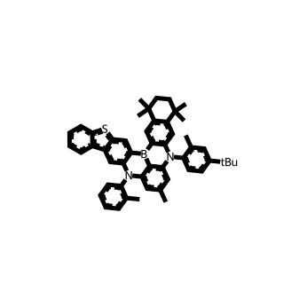 Cc1cc2c3c(c1)N(c1ccccc1C)c1cc4c(cc1B3c1cc3c(cc1N2c1ccc(C(C)(C)C)cc1C)C(C)(C)CCC3(C)C)sc1ccccc14